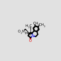 Cc1cc2c(cc1C)[C@@]13C[C@H](C)[C@@H](C[N+](=O)[O-])[C@@H]1CC(=O)N3CC2